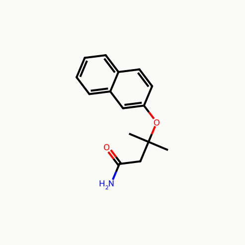 CC(C)(CC(N)=O)Oc1ccc2ccccc2c1